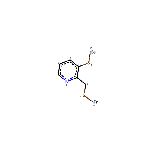 CCCSCc1ncccc1SC(C)(C)C